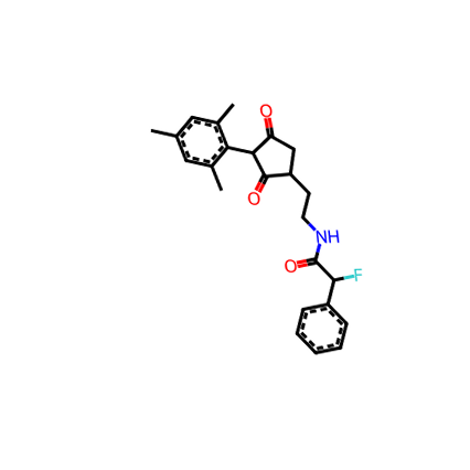 Cc1cc(C)c(C2C(=O)CC(CCNC(=O)C(F)c3ccccc3)C2=O)c(C)c1